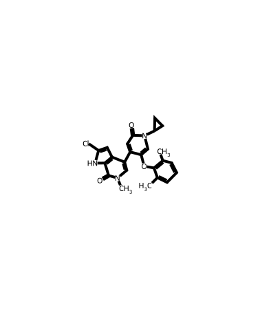 Cc1cccc(C)c1Oc1cn(C2CC2)c(=O)cc1-c1cn(C)c(=O)c2[nH]c(Cl)cc12